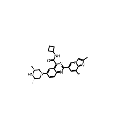 Cc1cn2cc(-c3nc(C(=O)NC4CCC4)c4cc(N5C[C@H](C)N[C@@H](C)C5)ccc4n3)cc(F)c2n1